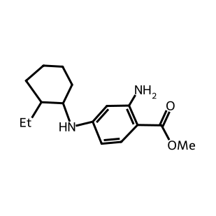 CCC1CCCCC1Nc1ccc(C(=O)OC)c(N)c1